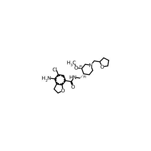 CO[C@H]1CN(CC2CCCO2)CC[C@@H]1CNC(=O)c1cc(Cl)c(N)c2c1OCC2